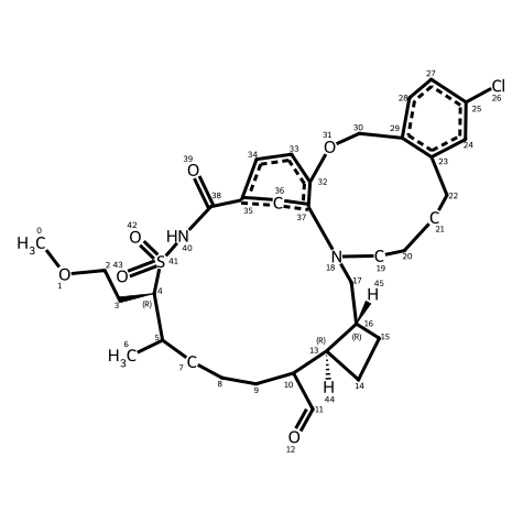 COCC[C@@H]1C(C)CCCC(C=O)[C@@H]2CC[C@H]2CN2CCCCc3cc(Cl)ccc3COc3ccc(cc32)C(=O)NS1(=O)=O